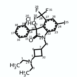 CCN(CC)C1CC(CN2C(=O)C(O)(c3ccccc3Cl)c3c2cc(I)cc3C(F)(F)F)C1